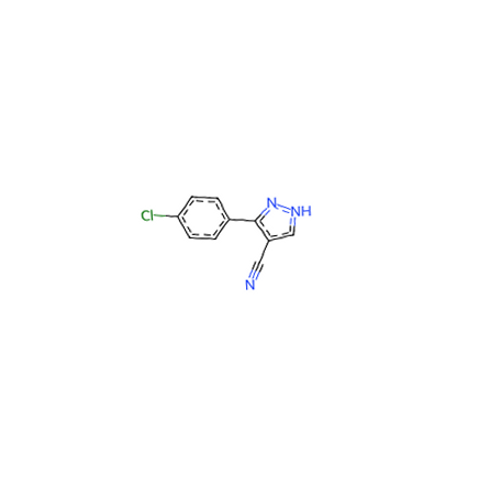 N#Cc1c[nH]nc1-c1ccc(Cl)cc1